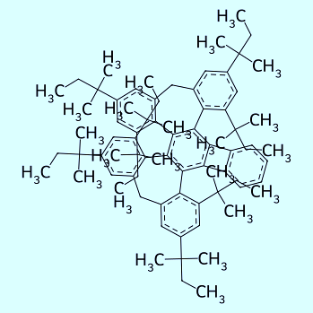 CCC(C)(C)c1cc2c(c(C(C)(C)CC)c1)-c1c3c(c4c(c1-c1c(cc(C(C)(C)CC)cc1C(C)(C)CC)C2)-c1c(cc(C(C)(C)CC)cc1C(C)(C)CC)Cc1cc(C(C)(C)CC)cc(C(C)(C)CC)c1-4)-c1ccccc1-3